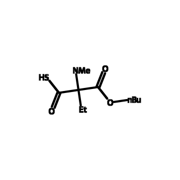 CCCCOC(=O)C(CC)(NC)C(=O)S